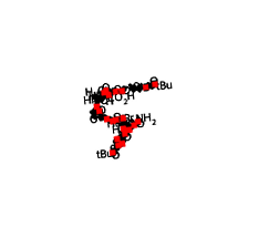 CC(C)[C@H](NC(=O)CCCCCN1C(=O)CC(SC[C@H](NC(C)(C)C)C(=O)NC(C)(CCC(=O)O)C(=O)NCCOCCOCCOCCOCCC(=O)C(C)(C)C)C1=O)C(=O)N[C@@H](CCCNC(N)=O)C(=O)NC1CCC(COC(=O)C(C)(C)C)CC1